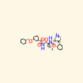 C=C[C@@H]1C[C@]1(NC(=O)[C@@H]1CN(C)CC[C@H]1c1ccccc1)C(=O)NS(=O)(=O)c1cccc(OCc2ccccc2)c1